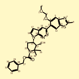 COCOc1cc2nc(C)sc2cc1-c1cc2ccn([C@@H]3CCN(C(=O)OCc4ccccc4)C(C)(C)[C@@H]3F)c2nn1